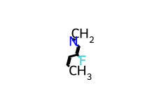 C=N/C=C(F)\C=C/C